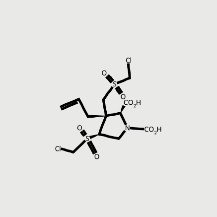 C=CC[C@]1(CS(=O)(=O)CCl)[C@H](S(=O)(=O)CCl)CN(C(=O)O)[C@@H]1C(=O)O